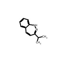 CC(C)C1=NNc2ccccc2C=C1